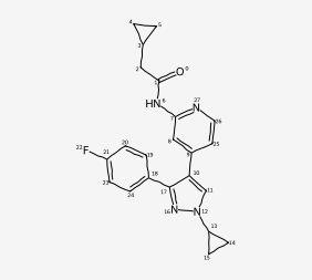 O=C(CC1CC1)Nc1cc(-c2cn(C3CC3)nc2-c2ccc(F)cc2)ccn1